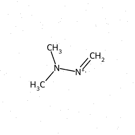 C=[N+]N(C)C